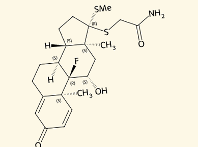 CS[C@@]1(SCC(N)=O)CC[C@H]2[C@@H]3CCC4=CC(=O)C=C[C@]4(C)[C@@]3(F)[C@@H](O)C[C@@]21C